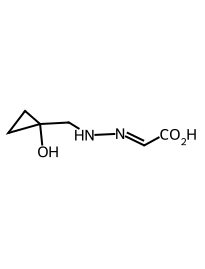 O=C(O)/C=N/NCC1(O)CC1